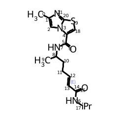 Cc1cn2c(C(=O)NC(C)CC/C=C/C(=O)NC(C)C)csc2n1